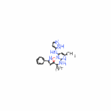 CCCC(Nc1nc(C)cc(Nc2ccn[nH]2)n1)c1cc(-c2ccccc2)no1